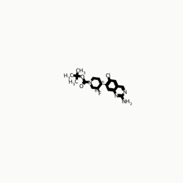 CC(C)(C)OC(=O)N1CC[C@H](c2cc3nc(N)ncc3cc2Cl)[C@@H](F)C1